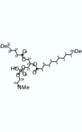 CCCCCCCCCCCCCCCCCCCC(=O)OC(COC(=O)CCCCCCCCCCCCC)COP(=O)(O)OCCNC